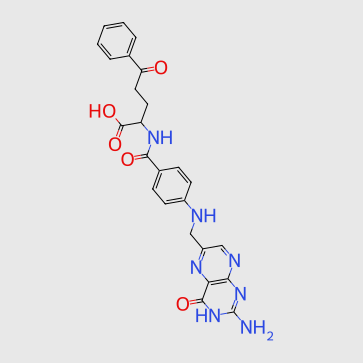 Nc1nc2ncc(CNc3ccc(C(=O)NC(CCC(=O)c4ccccc4)C(=O)O)cc3)nc2c(=O)[nH]1